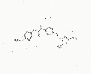 CCc1cnc(OC(=O)Nc2ccc(CC[C@@H]3N=C(N)O[C@H]3C)cc2)cn1